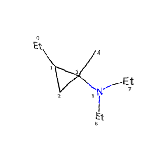 CCC1CC1(C)N(CC)CC